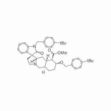 COC(=O)[C@@H]1[C@H]2C[C@@H]3N(CC[C@@]34C(=O)N(Cc3ccc(C(C)(C)C)cc3)c3ccccc34)C[C@@H]2CC[C@@H]1OCc1ccc(C(C)(C)C)cc1